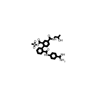 CC(O)CNC(=O)c1ccc(-c2ccccc2C(=O)Nc2ccc(C(=N)N)cc2)c(C(=O)OS(C)(=O)=O)c1